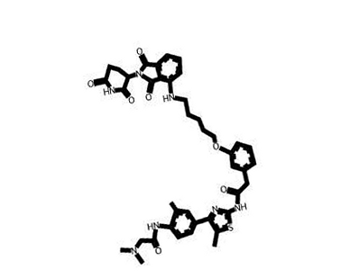 Cc1cc(-c2nc(NC(=O)Cc3cccc(OCCCCCNc4cccc5c4C(=O)N(C4CCC(=O)NC4=O)C5=O)c3)sc2C)ccc1NC(=O)CN(C)C